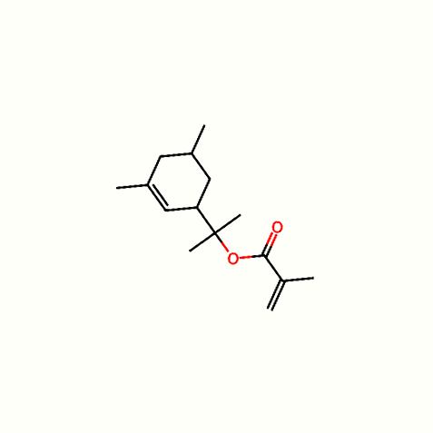 C=C(C)C(=O)OC(C)(C)C1C=C(C)CC(C)C1